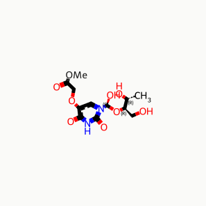 COC(=O)COc1cn([C@@H](O)O[C@H](CO)[C@@H](C)O)c(=O)[nH]c1=O